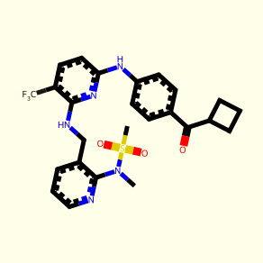 CN(c1ncccc1CNc1nc(Nc2ccc(C(=O)C3CCC3)cc2)ccc1C(F)(F)F)S(C)(=O)=O